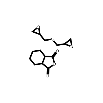 C(OCC1CO1)C1CO1.O=C1OC(=O)C2CCCCC12